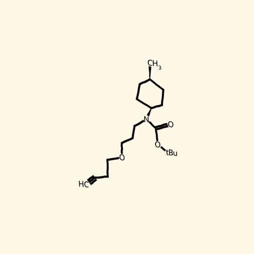 C#CCCOCCCN(C(=O)OC(C)(C)C)[C@H]1CC[C@@H](C)CC1